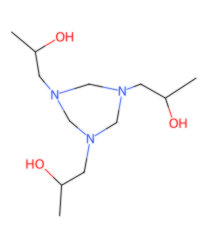 CC(O)CN1CN(CC(C)O)CN(CC(C)O)C1